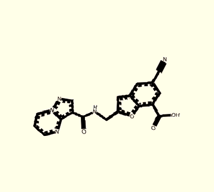 N#Cc1cc(C(=O)O)c2oc(CNC(=O)c3cnn4cccnc34)cc2c1